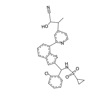 CC(c1ccnc(-c2cccc3cc(C(NS(=O)(=O)C4CC4)c4ccccc4Cl)sc23)c1)C(O)C#N